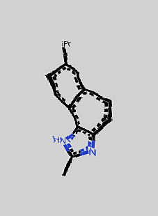 Cc1nc2ccc3cc(C(C)C)ccc3c2[nH]1